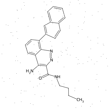 CCCCNC(=O)c1nnc2c(-c3ccc4ccccc4c3)cccc2c1N